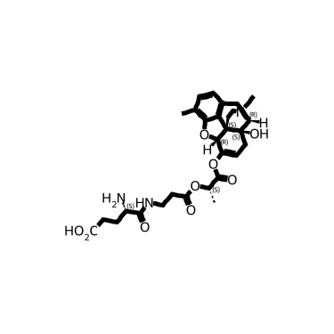 Cc1ccc2c3c1O[C@H]1C(OC(=O)[C@H](C)OC(=O)CCNC(=O)[C@@H](N)CCC(=O)O)=CC[C@@]4(O)[C@@H](C2)N(C)CC[C@]314